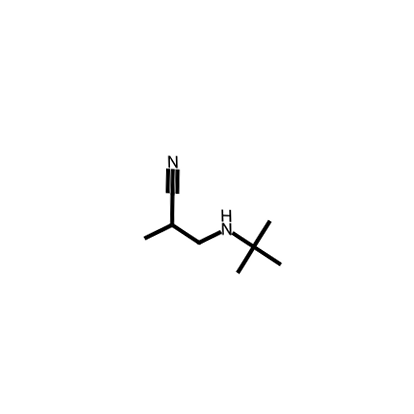 CC(C#N)CNC(C)(C)C